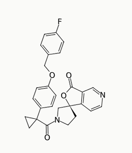 O=C1O[C@]2(CCN(C(=O)C3(c4ccc(OCc5ccc(F)cc5)cc4)CC3)C2)c2ccncc21